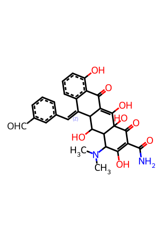 CN(C)C1C(O)=C(C(N)=O)C(=O)C2(O)C(O)=C3C(=O)c4c(O)cccc4/C(=C\c4cccc(C=O)c4)C3C(O)C12